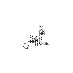 CC(C)(C)OC(=O)N[C@H](CCn1cc([Si](C)(C)C)nn1)C(=O)NCc1ccccc1